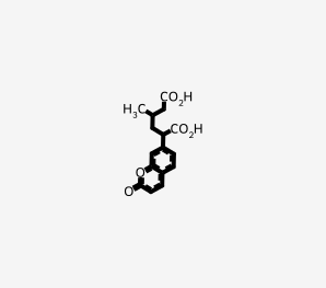 CC(CC(=O)O)CC(C(=O)O)c1ccc2ccc(=O)oc2c1